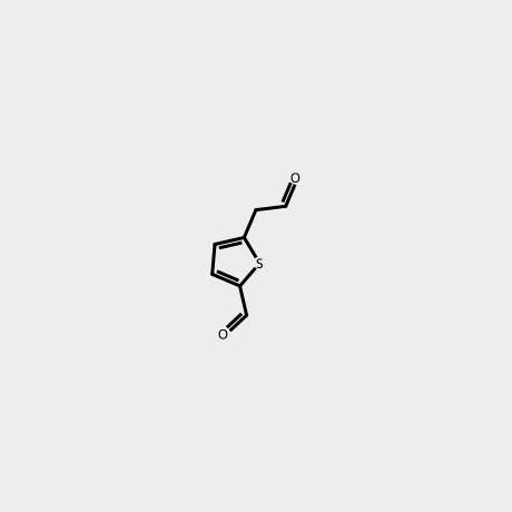 O=CCc1ccc(C=O)s1